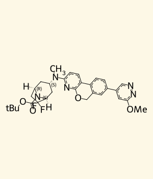 COc1cc(-c2ccc3c(c2)COc2nc(N(C)[C@H]4C[C@@H]5CC(F)(F)[C@H](C4)N5C(=O)OC(C)(C)C)ccc2-3)cnn1